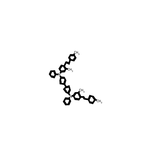 Cc1ccc(C=Cc2ccc(N(c3ccccc3)c3ccc(-c4ccc(N(c5ccccc5)c5ccc(C=Cc6ccc(C)cc6)c(C)c5)cc4)cc3)cc2C)cc1